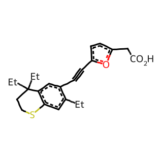 CCc1cc2c(cc1C#Cc1ccc(CC(=O)O)o1)C(CC)(CC)CCS2